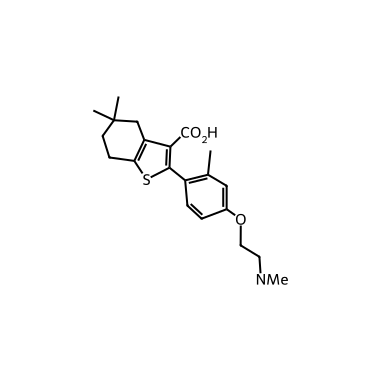 CNCCOc1ccc(-c2sc3c(c2C(=O)O)CC(C)(C)CC3)c(C)c1